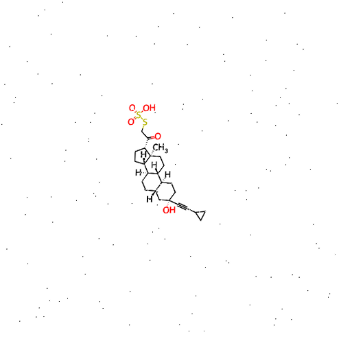 C[C@]12CC[C@H]3[C@@H](CC[C@H]4C[C@](O)(C#CC5CC5)CC[C@@H]43)[C@@H]1CC[C@@H]2C(=O)CSS(=O)(=O)O